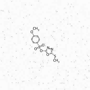 COc1ccc(S(=O)(=O)Oc2nnc(SC)o2)cc1